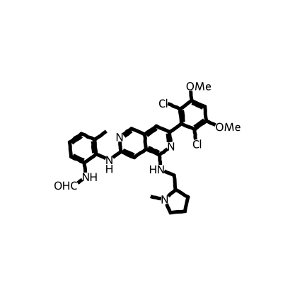 COc1cc(OC)c(Cl)c(-c2cc3cnc(Nc4c(C)cccc4NC=O)cc3c(NCC3CCCN3C)n2)c1Cl